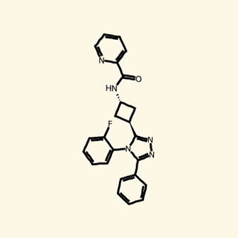 O=C(N[C@H]1C[C@H](c2nnc(-c3ccccc3)n2-c2ccccc2F)C1)c1ccccn1